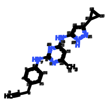 C#CCc1ccc(Nc2nc(C)cc(Nc3cc(C4CC4)n[nH]3)n2)cc1